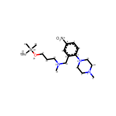 CN1CCN(c2ccc([N+](=O)[O-])cc2CN(C)CCCO[Si](C)(C)C(C)(C)C)CC1